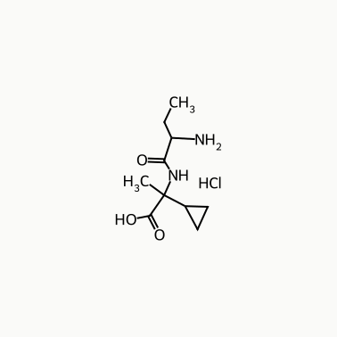 CCC(N)C(=O)NC(C)(C(=O)O)C1CC1.Cl